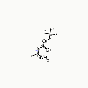 C/C(N)=C/C(=O)OCC(C)(C)C